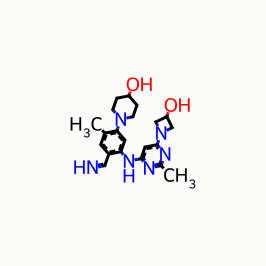 Cc1nc(Nc2cc(N3CCC(O)CC3)c(C)cc2C=N)cc(N2CC(O)C2)n1